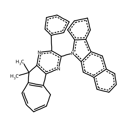 CC1(C)C2=C(CC=CC=C2)c2nc(-n3c4ccccc4c4cc5ccccc5cc43)c(-c3ccccc3)nc21